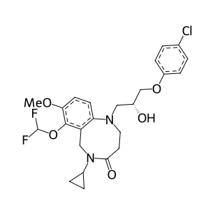 COc1ccc2c(c1OC(F)F)CN(C1CC1)C(=O)CCN2C[C@@H](O)COc1ccc(Cl)cc1